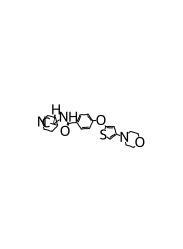 O=C(N[C@H]1CN2CCC1CC2)c1ccc(Oc2cc(N3CCOCC3)cs2)cc1